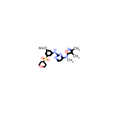 COc1cc(Nc2nccc(N(C)c3onc(C)c3C)n2)cc(S(=O)(=O)C2CCOCC2)c1